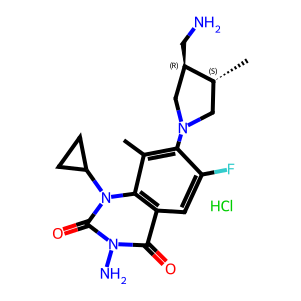 Cc1c(N2C[C@@H](CN)[C@H](C)C2)c(F)cc2c(=O)n(N)c(=O)n(C3CC3)c12.Cl